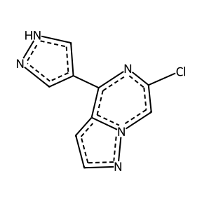 Clc1cn2nccc2c(-c2cn[nH]c2)n1